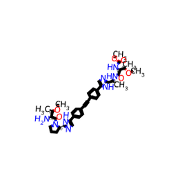 COC(=O)N[C@H](C(=O)N[C@@H](C)c1ncc(-c2ccc(C#Cc3ccc(-c4cnc([C@@H]5CCCN5C(=O)[C@@H](N)[C@@H](C)OC)[nH]4)cc3)cc2)[nH]1)[C@@H](C)OC